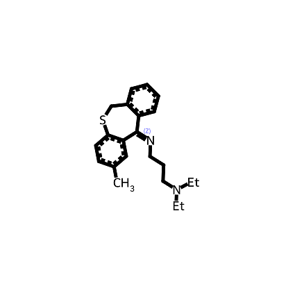 CCN(CC)CCC/N=C1/c2ccccc2CSc2ccc(C)cc21